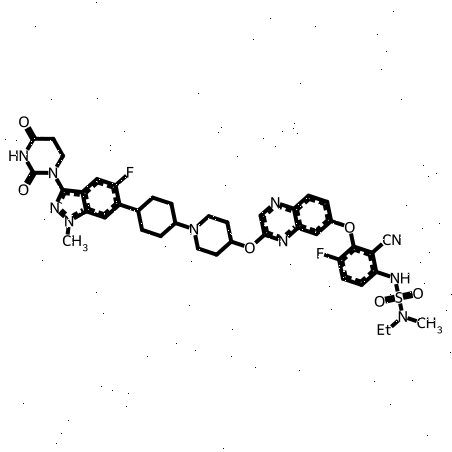 CCN(C)S(=O)(=O)Nc1ccc(F)c(Oc2ccc3ncc(OC4CCN(C5CCC(c6cc7c(cc6F)c(N6CCC(=O)NC6=O)nn7C)CC5)CC4)nc3c2)c1C#N